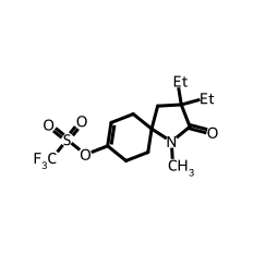 CCC1(CC)CC2(CC=C(OS(=O)(=O)C(F)(F)F)CC2)N(C)C1=O